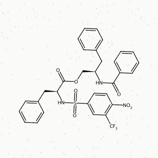 O=C(N[C@@H](COC(=O)[C@H](Cc1ccccc1)NS(=O)(=O)c1ccc([N+](=O)[O-])c(C(F)(F)F)c1)Cc1ccccc1)c1ccccc1